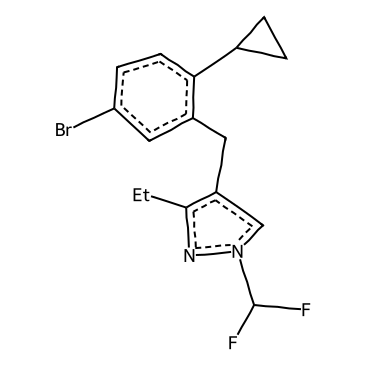 CCc1nn(C(F)F)cc1Cc1cc(Br)ccc1C1CC1